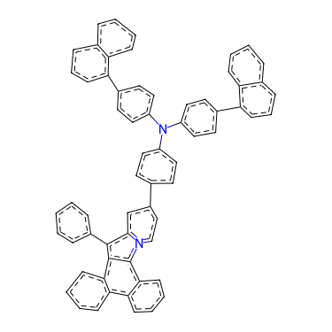 c1ccc(-c2c3c4ccccc4c4ccccc4c3n3ccc(-c4ccc(N(c5ccc(-c6cccc7ccccc67)cc5)c5ccc(-c6cccc7ccccc67)cc5)cc4)cc23)cc1